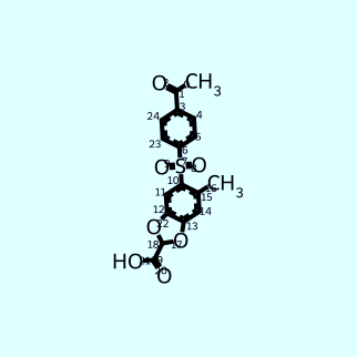 CC(=O)c1ccc(S(=O)(=O)c2cc3c(cc2C)OC(C(=O)O)O3)cc1